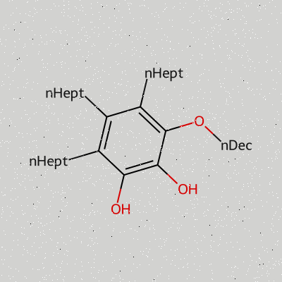 CCCCCCCCCCOc1c(O)c(O)c(CCCCCCC)c(CCCCCCC)c1CCCCCCC